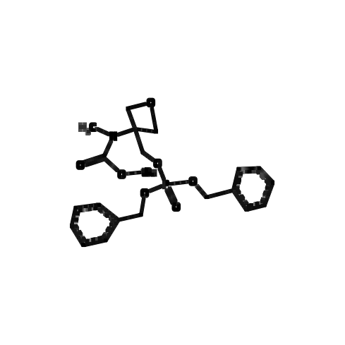 CN(C(=O)OC(C)(C)C)C1(COP(=O)(OCc2ccccc2)OCc2ccccc2)COC1